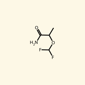 CC(OC(F)F)C(N)=O